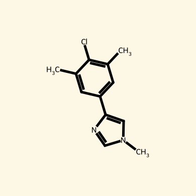 Cc1cc(-c2cn(C)cn2)cc(C)c1Cl